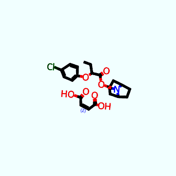 CCC(Oc1ccc(Cl)cc1)C(=O)OC1CC2CCC(C1)N2C.O=C(O)/C=C\C(=O)O